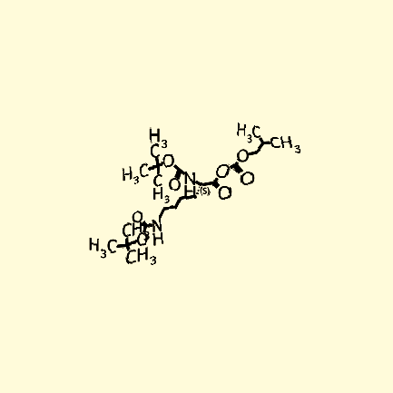 CC(C)COC(=O)OC(=O)[C@H](CCCCNC(=O)OC(C)(C)C)NC(=O)OC(C)(C)C